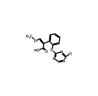 CO/C=C(\C(=O)O)c1ccccc1Oc1ncnc(Cl)n1